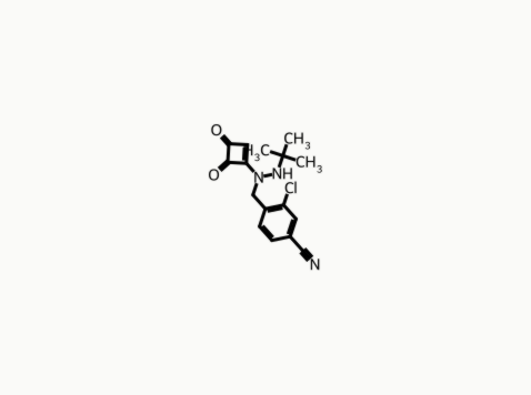 CC(C)(C)NN(Cc1ccc(C#N)cc1Cl)c1cc(=O)c1=O